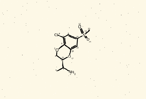 CC(N)[C@H]1COc2c(Cl)cc(S(C)(=O)=O)cc2O1